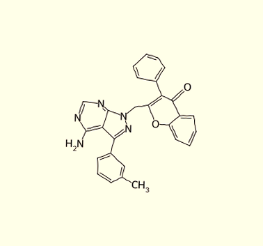 Cc1cccc(-c2nn(Cc3oc4ccccc4c(=O)c3-c3ccccc3)c3ncnc(N)c23)c1